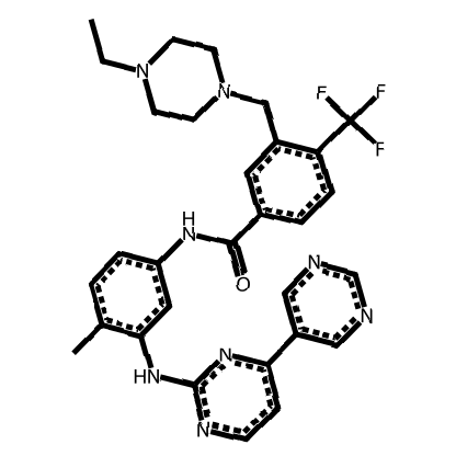 CCN1CCN(Cc2cc(C(=O)Nc3ccc(C)c(Nc4nccc(-c5cncnc5)n4)c3)ccc2C(F)(F)F)CC1